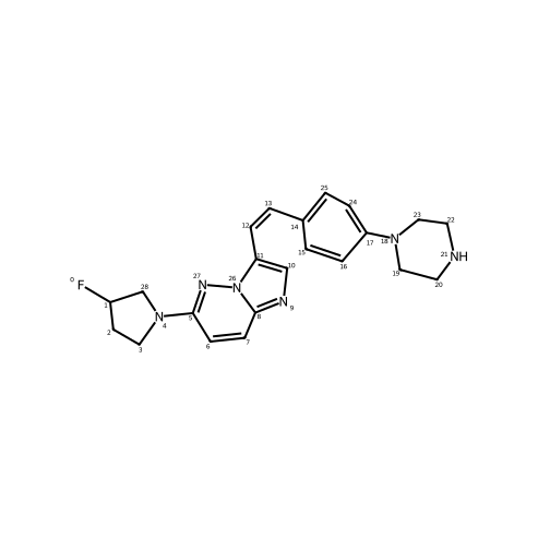 FC1CCN(c2ccc3ncc(/C=C\c4ccc(N5CCNCC5)cc4)n3n2)C1